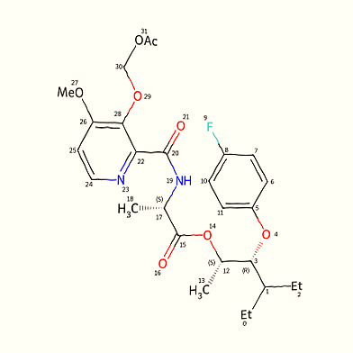 CCC(CC)[C@@H](Oc1ccc(F)cc1)[C@H](C)OC(=O)[C@H](C)NC(=O)c1nccc(OC)c1OCOC(C)=O